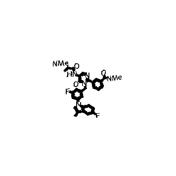 CNC(=O)c1cccc(-c2ncc(NC(=O)[C@H](C)NC)c(=O)n2Cc2cc(F)cc(-n3cc(C)c4cc(F)ccc43)c2)c1